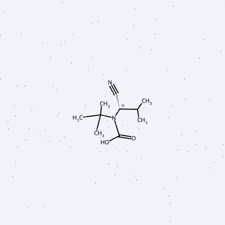 CC(C)[C@@H](C#N)N(C(=O)O)C(C)(C)C